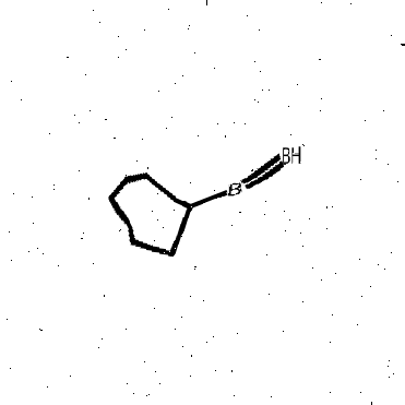 B=BC1CCCC1